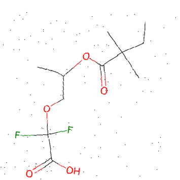 CCC(C)(C)C(=O)OC(C)COC(F)(F)C(=O)O